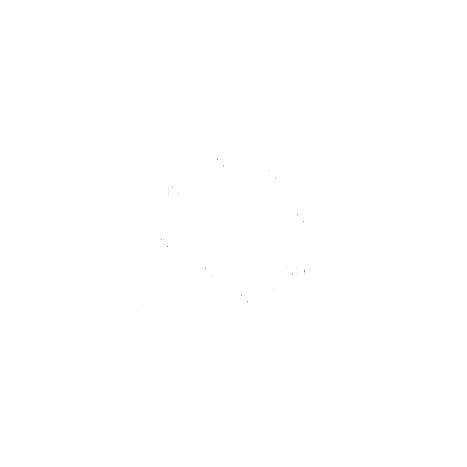 O=C1C=CC=c2c1c1[nH]/c2=N\c2[nH]c(c3ccccc23)/N=C2\NC(NC3=NC(=N1)c1ccccc13)c1ccccc12.[Cu]